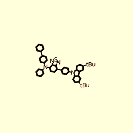 CC(C)(C)c1ccc2c(c1)c1cc(C(C)(C)C)ccc1n2-c1ccc(-c2ccc(N(c3ccccc3)c3ccc(-c4ccccc4)cc3)c3nsnc23)cc1